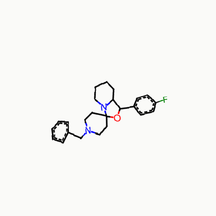 Fc1ccc(C2OC3(CCN(Cc4ccccc4)CC3)N3CCCCC23)cc1